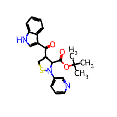 CC(C)(C)OC(=O)C1C(C(=O)c2c[nH]c3ccccc23)CSN1c1cccnc1